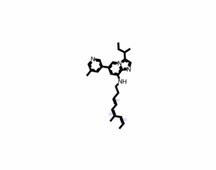 C\C=C/C(C)=C\C=C\CCNc1cc(-c2cncc(C)c2)cn2c(C(C)CC)cnc12